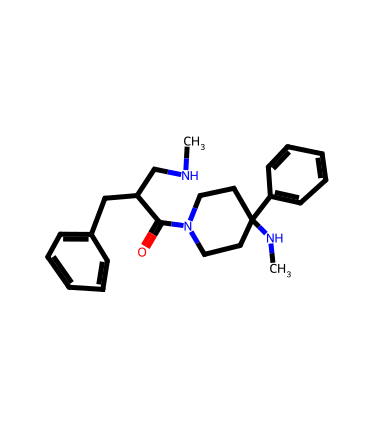 CNCC(Cc1ccccc1)C(=O)N1CCC(NC)(c2ccccc2)CC1